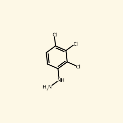 NNc1ccc(Cl)c(Cl)c1Cl